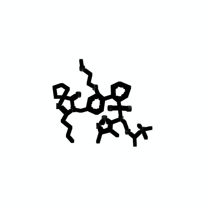 CCCCC1=NC2(CCCC2)C(=O)N1Cc1ccc(-c2ccccc2S(=O)(=O)N(COC(C)[Si](C)(C)C)c2onc(C)c2C)c(OCCOC)c1